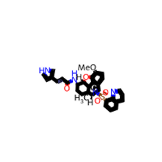 COc1ccc2c3c1O[C@H]1[C@H](NC(=O)/C=C/c4cc[nH]c4)CC[C@@]4(C)[C@@H](C2)N(S(=O)(=O)c2cccc5cccnc25)CC[C@]314